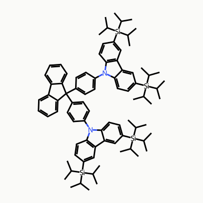 CC(C)[Si](c1ccc2c(c1)c1cc([Si](C(C)C)(C(C)C)C(C)C)ccc1n2-c1ccc(C2(c3ccc(-n4c5ccc([Si](C(C)C)(C(C)C)C(C)C)cc5c5cc([Si](C(C)C)(C(C)C)C(C)C)ccc54)cc3)c3ccccc3-c3ccccc32)cc1)(C(C)C)C(C)C